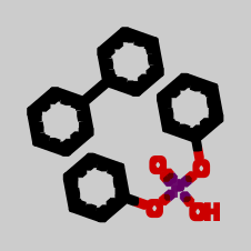 O=P(O)(Oc1ccccc1)Oc1ccccc1.c1ccc(-c2ccccc2)cc1